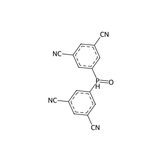 N#Cc1cc(C#N)cc([PH](=O)c2cc(C#N)cc(C#N)c2)c1